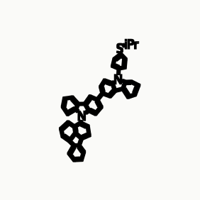 CC(C)Sc1ccc(-n2c3ccccc3c3cc(-c4ccc5c(c4)c4ccccc4n5-c4ccc5c6c(cccc46)-c4ccccc4-5)ccc32)cc1